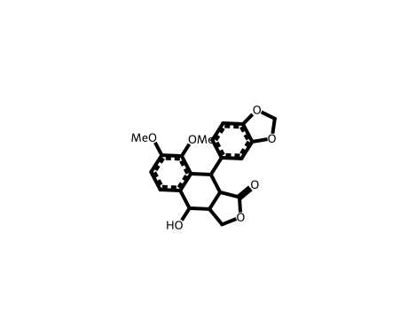 COc1ccc2c(c1OC)C(c1ccc3c(c1)OCO3)C1C(=O)OCC1C2O